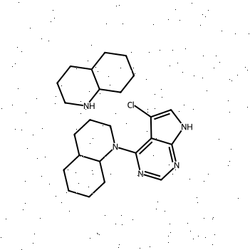 C1CCC2NCCCC2C1.Clc1c[nH]c2ncnc(N3CCCC4CCCCC43)c12